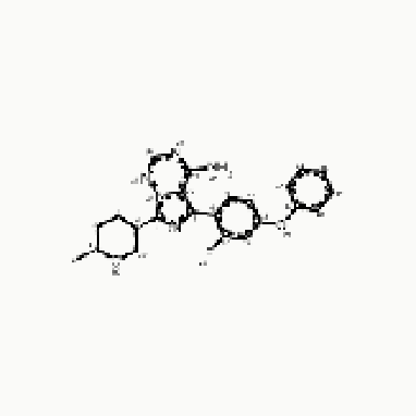 C[C@H]1CC[C@@H](c2nc(-c3ccc(Oc4ccccc4)cc3F)c3c(N)ncnn23)CO1